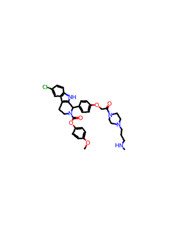 CNCCCN1CCN(C(=O)COc2ccc(C3c4[nH]c5ccc(Cl)cc5c4CCN3C(=O)Oc3ccc(OC)cc3)cc2)CC1